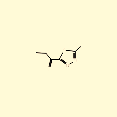 CCC(=O)c1nnc(C)s1